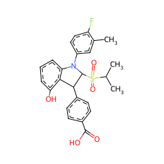 Cc1cc(N2c3cccc(O)c3C(c3ccc(C(=O)O)cc3)C2S(=O)(=O)C(C)C)ccc1F